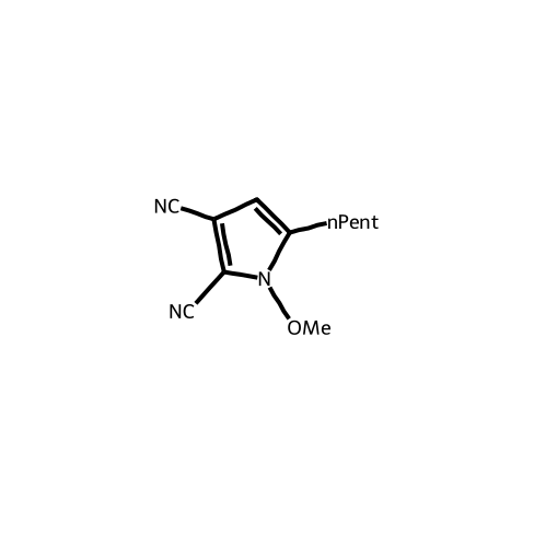 CCCCCc1cc(C#N)c(C#N)n1OC